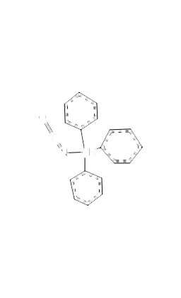 O=C=N[PH](c1ccccc1)(c1ccccc1)c1ccccc1